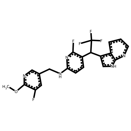 COc1ncc(CNc2ccc(C(c3c[nH]c4ncccc34)C(F)(F)F)c(F)n2)cc1F